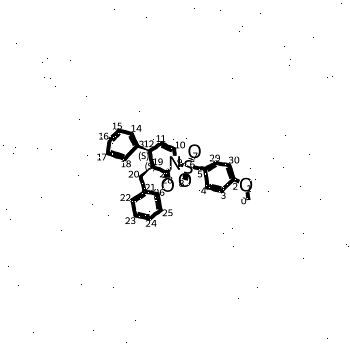 COc1ccc(S(=O)(=O)N2C=C[C@H](c3ccccc3)[C@H](Cc3ccccc3)C2=O)cc1